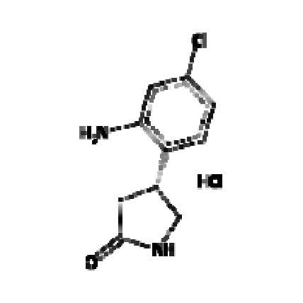 Cl.Nc1cc(Cl)ccc1[C@@H]1CNC(=O)C1